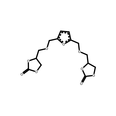 O=C1OCC(COCc2ccc(COCC3COC(=O)O3)o2)O1